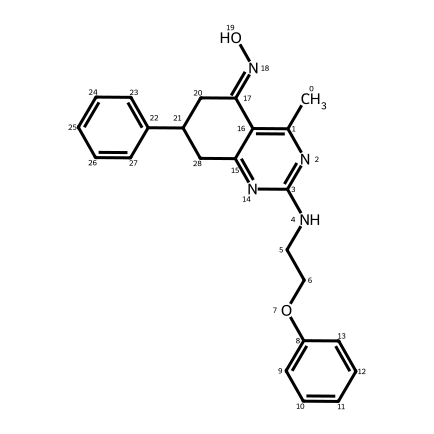 Cc1nc(NCCOc2ccccc2)nc2c1/C(=N/O)CC(c1ccccc1)C2